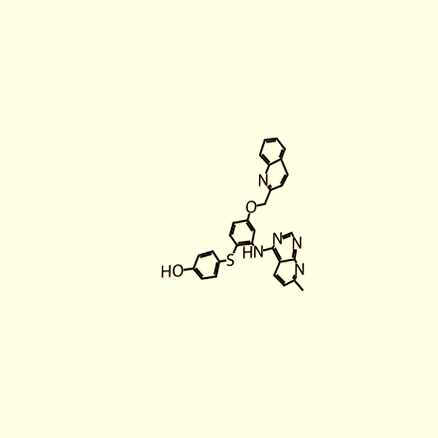 Cc1ccc2c(Nc3cc(OCc4ccc5ccccc5n4)ccc3Sc3ccc(O)cc3)ncnc2n1